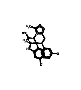 C=C(CCC)[C@H]1n2c(C)nnc2C[C@@H](c2cccc(Cl)c2)[C@]12C(=O)Nc1cc(Cl)ccc12